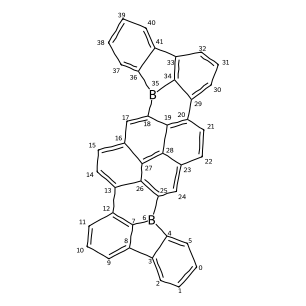 c1ccc2c(c1)B1c3c-2cccc3-c2ccc3cc4c5c(ccc6cc1c2c3c65)-c1cccc2c1B4c1ccccc1-2